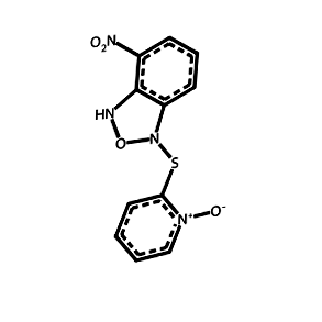 O=[N+]([O-])c1cccc2c1NON2Sc1cccc[n+]1[O-]